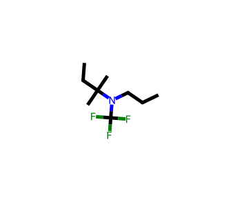 CCCN(C(F)(F)F)C(C)(C)CC